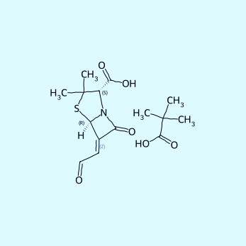 CC(C)(C)C(=O)O.CC1(C)S[C@@H]2/C(=C\C=O)C(=O)N2[C@H]1C(=O)O